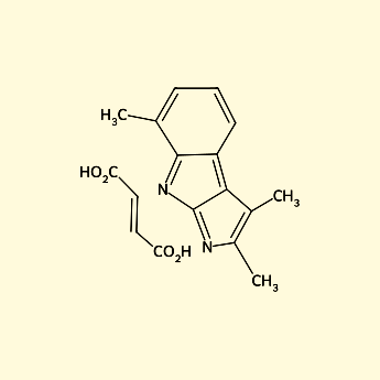 CC1=C(C)C2=c3cccc(C)c3=NC2=N1.O=C(O)C=CC(=O)O